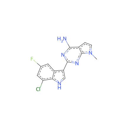 Cn1ccc2c(N)nc(-c3c[nH]c4c(Cl)cc(F)cc34)nc21